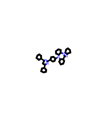 c1ccc(-c2cc(-c3ccccc3)nc(-c3ccc(N4c5ccccc5-c5nc6ccccc6n5-c5ccccc54)cc3)n2)cc1